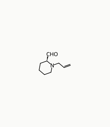 C=CCN1CCCC[C@H]1C=O